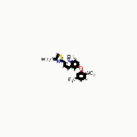 C=Nc1ccc(Oc2cc(C(F)(F)F)ccc2[N+](=O)[O-])cc1/C=C\CC1=NC(C(=O)O)CS1